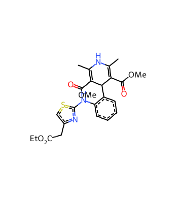 CCOC(=O)Cc1csc(Nc2ccccc2C2C(C(=O)OC)=C(C)NC(C)=C2C(=O)OC)n1